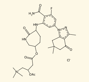 CC(=O)OC(CC(=O)OC1CCC(Nc2cc(-n3nc(C)c4c3CC(C)(C)CC4=O)cc(F)c2C(N)=O)C(=O)NC1)C[N+](C)(C)C.[Cl-]